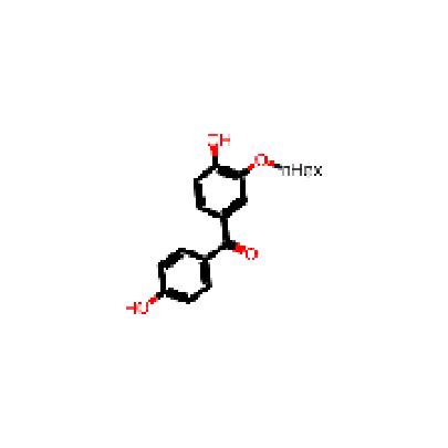 CCCCCCOc1cc(C(=O)c2ccc(O)cc2)ccc1O